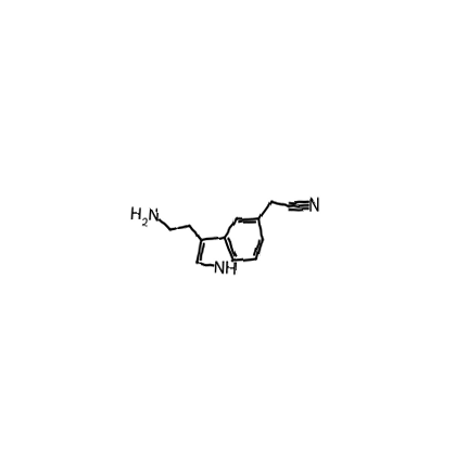 N#CCc1ccc2[nH]cc(CCN)c2c1